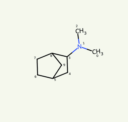 CN(C)C1CC2CCC1C2